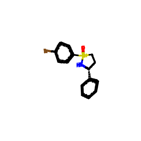 O=[SH]1(c2ccc(Br)cc2)CC[C@H](c2ccccc2)N1